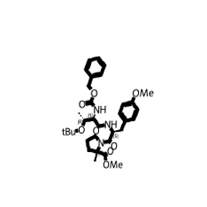 COC(=O)[C@]1(C)CCCN1C(=O)[C@H](Cc1ccc(OC)cc1)NC(=O)[C@@H](NC(=O)OCc1ccccc1)[C@@H](C)OC(C)(C)C